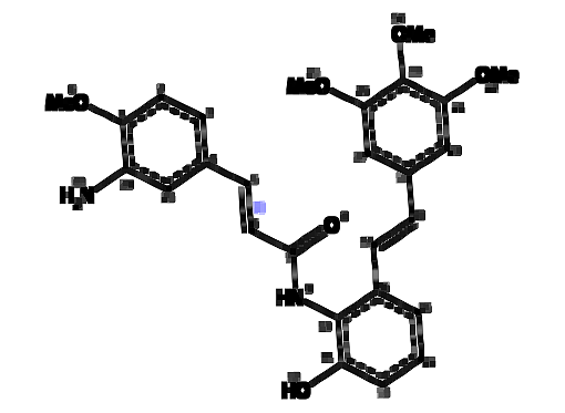 COc1ccc(/C=C/C(=O)Nc2c(O)cccc2C=Cc2cc(OC)c(OC)c(OC)c2)cc1N